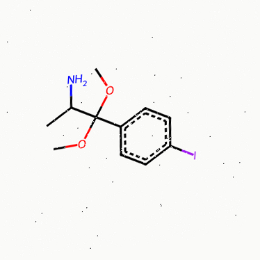 COC(OC)(c1ccc(I)cc1)C(C)N